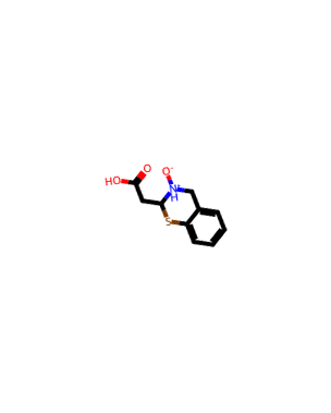 O=C(O)CC1Sc2ccccc2C[NH+]1[O-]